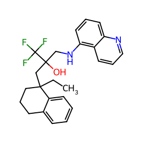 CCC1(CC(O)(CNc2cccc3ncccc23)C(F)(F)F)CCCc2ccccc21